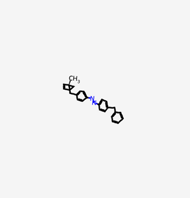 C[C@]12C=CC1(Cc1ccc(N=Nc3ccc(Cc4ccccc4)cc3)cc1)C2